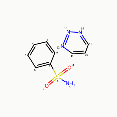 NS(=O)(=O)c1ccccc1.c1cnnnc1